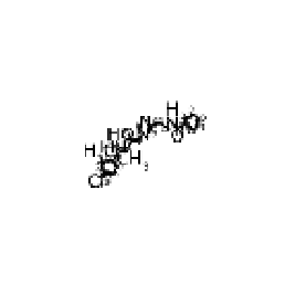 CC(C)(NCC(O)Cn1cnc(CCNC(=O)c2ccccc2)c1)c1ccc(Cl)cc1